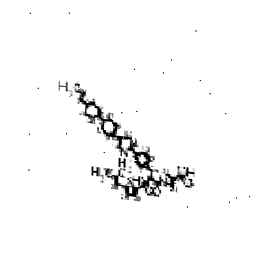 CCCC1CCC(C2CC=C(c3cnc(-c4ccc(C[C@H](NC(=O)c5ccc(CC(C)C)s5)C(=O)N5CC(C(=O)O)C5)cc4)nc3)CC2)CC1